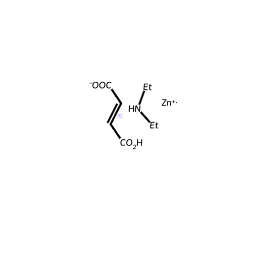 CCNCC.O=C([O-])/C=C/C(=O)O.[Zn+]